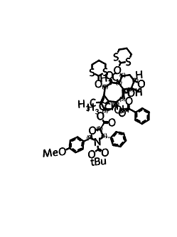 COc1ccc([C@H]2O[C@@H](C(=O)O[C@H]3C[C@@]4(O)[C@@H](OC(=O)c5ccccc5)[C@@H]5[C@]6(O)CO[C@@H]6C[C@H](OC6SCCCS6)[C@@]5(C)C(=O)[C@H](OC5SCCCS5)C(=C3C)C4(C)C)[C@H](c3ccccc3)N2C(=O)OC(C)(C)C)cc1